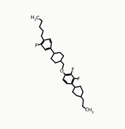 CCCCCc1ccc(C2CCC(COc3ccc(C4CCC(CCC)CC4)c(F)c3F)CC2)cc1F